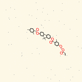 C=CC(=O)OCOc1ccc(C(=O)Oc2ccc3c(c2)C(C)(C)c2cc(OC(=O)c4ccc(C)cc4C)ccc2-3)c(C)c1